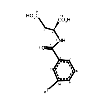 O=C(O)C[C@H](NC(=O)c1cccc(I)c1)C(=O)O